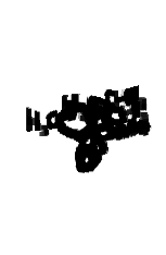 COC(=O)/C1=C(\O[Si](C)(C)C)CC/C=C(\C)CC[C@@H]1c1ccccc1